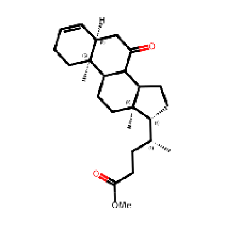 COC(=O)CC[C@@H](C)[C@H]1CCC2C3C(=O)C[C@@H]4C=CCC[C@]4(C)C3CC[C@@]21C